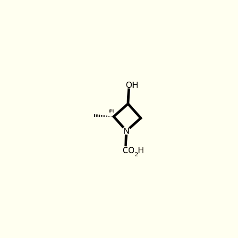 C[C@@H]1C(O)CN1C(=O)O